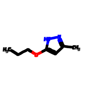 CCCOc1cc(C)n[nH]1